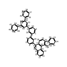 c1cc(-c2cccc(-c3nc4ccccc4c4c3ccc3c5ccccc5sc34)c2)cc(-c2cc(-c3cccnc3)nc(-c3cccnc3)c2)c1